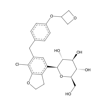 OC[C@H]1O[C@@H](c2cc(Cc3ccc(OC4COC4)cc3)c(Cl)c3c2CCO3)[C@H](O)[C@@H](O)[C@@H]1O